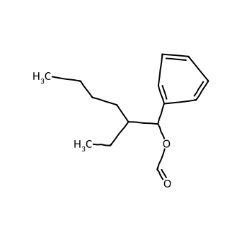 CCCCC(CC)C(OC=O)c1ccccc1